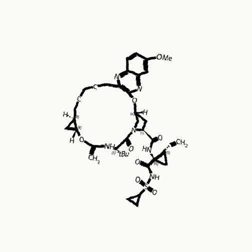 C=C[C@@H]1C[C@]1(NC(=O)[C@@H]1C[C@@H]2CN1C(=O)[C@H](C(C)(C)C)NC(=C)O[C@@H]1C[C@H]1CCCCCc1nc3ccc(OC)cc3nc1O2)C(=O)NS(=O)(=O)C1CC1